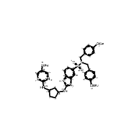 COc1ccc(CN(Cc2ccc(OC)cc2)S(=O)(=O)c2ccc3nc(NC4CCC(Nc5ncc(SC)cn5)C4)sc3c2)cc1